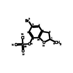 CC1Cc2cc(Br)cc(OS(=O)(=O)Cl)c2O1